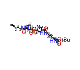 C#CCCCNC(=O)c1cccc(S(=O)(=O)Oc2ccc(C(=O)NCCCCCNC(=O)OC(C)(C)C)cn2)c1